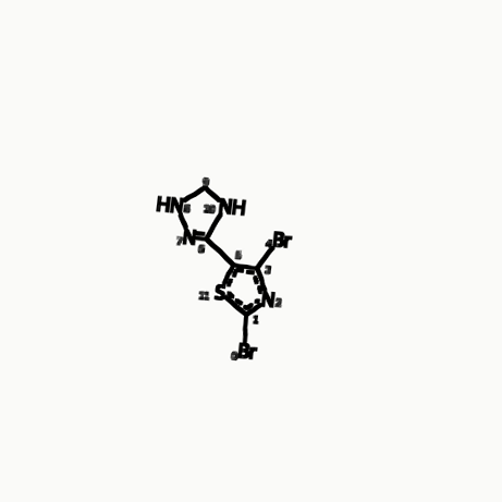 Brc1nc(Br)c(C2=NNCN2)s1